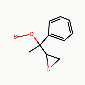 CC(OBr)(c1ccccc1)C1CO1